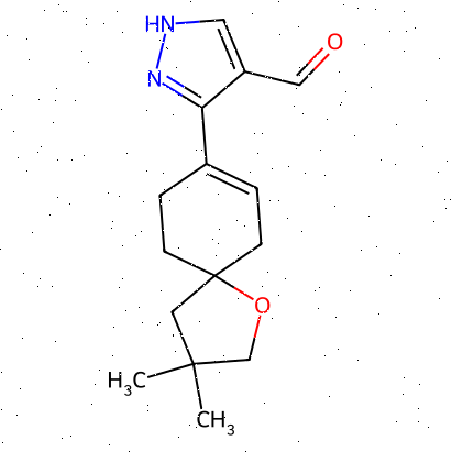 CC1(C)COC2(CC=C(c3n[nH]cc3C=O)CC2)C1